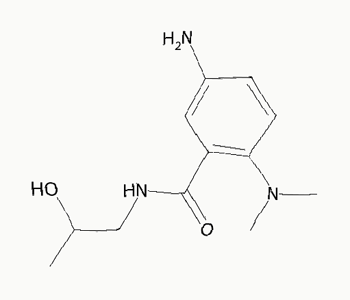 CC(O)CNC(=O)c1cc(N)ccc1N(C)C